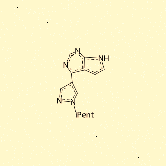 CCCC(C)n1cc(-c2ncnc3[nH]ccc23)cn1